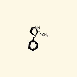 C[C@H]1NC=CN1c1ccccc1